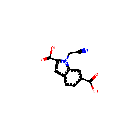 N#CCn1c(C(=O)O)cc2ccc(C(=O)O)cc21